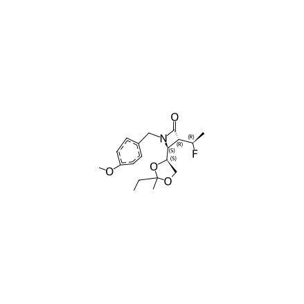 CCC1(C)OC[C@H]([C@@H]2[C@@H]([C@@H](C)F)C(=O)N2Cc2ccc(OC)cc2)O1